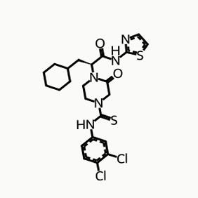 O=C(Nc1nccs1)[C@H](CC1CCCCC1)N1CCN(C(=S)Nc2ccc(Cl)c(Cl)c2)CC1=O